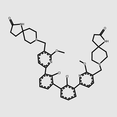 COc1nc(-c2cccc(-c3cccc(-c4ccc(CN5CCC6(CCC(=O)N6)CC5)c(OC)n4)c3Cl)c2Cl)ccc1CN1CCC2(CCC(=O)N2)CC1